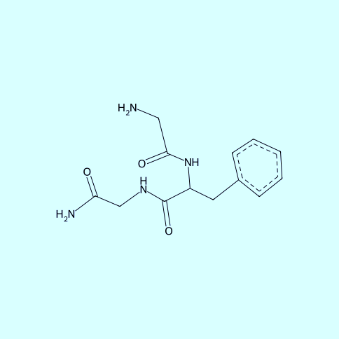 NCC(=O)NC(Cc1ccccc1)C(=O)NCC(N)=O